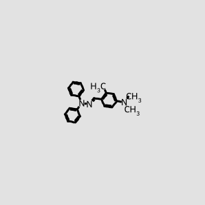 Cc1cc(N(C)C)ccc1C=NN(c1ccccc1)c1ccccc1